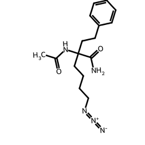 CC(=O)NC(CCCCN=[N+]=[N-])(CCc1ccccc1)C(N)=O